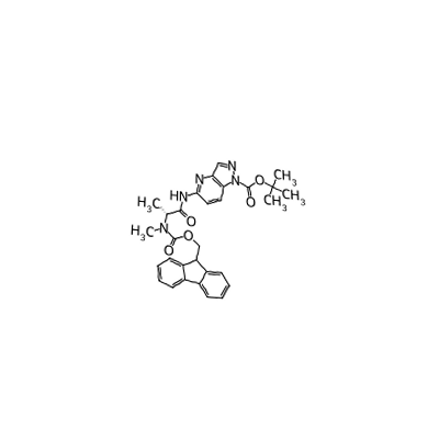 C[C@H](C(=O)Nc1ccc2c(cnn2C(=O)OC(C)(C)C)n1)N(C)C(=O)OCC1c2ccccc2-c2ccccc21